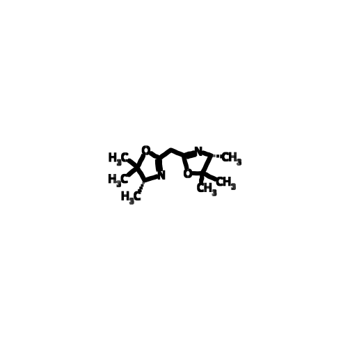 C[C@H]1N=C(CC2=N[C@H](C)C(C)(C)O2)OC1(C)C